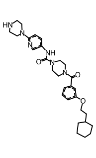 O=C(Nc1ccc(N2CCNCC2)nc1)N1CCN(C(=O)c2cccc(OCCC3CCCCC3)c2)CC1